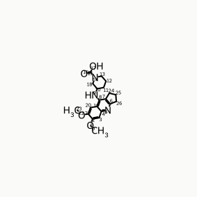 COc1cc2nc3c(c(N[C@@H]4CCCN(C(=O)O)C4)c2cc1OC)CCC3